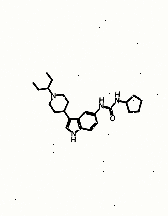 CCC(CC)N1CCC(c2c[nH]c3ccc(NC(=O)NC4CCCC4)cc23)CC1